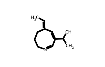 C/C=C1/C=C(C(C)C)\C=N/CCC1